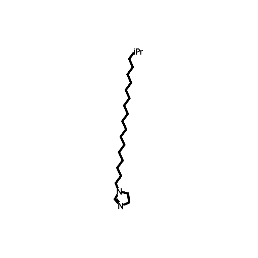 CC(C)CCCCCCCCCCCCCCCCCN1C=NCC1